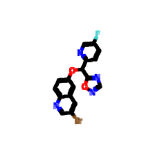 Fc1ccc(C(Oc2ccc3ncc(Br)cc3c2)c2ncno2)nc1